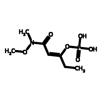 CCC(=CC(=O)N(C)OC)OP(=O)(O)O